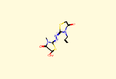 C=CCN1C(=O)CS/C1=N/N=C1/SC(O)C(=O)N1C